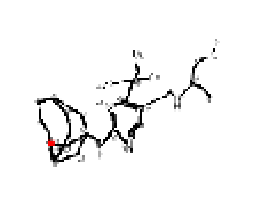 COCC(C)NCc1cnc(NC23CCC4CC(CC(C4)C2)C3)nc1C(F)(F)F